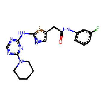 O=C(Cc1cnc(Nc2ncnc(N3CCCCC3)n2)s1)Nc1cccc(F)c1